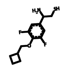 NC(CS)c1cc(F)c(OCC2CCC2)c(F)c1